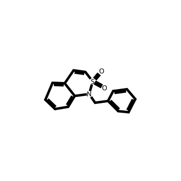 O=S1(=O)C=Cc2ccccc2N1Cc1ccccc1